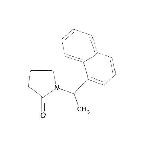 CC(c1cccc2ccccc12)N1CCCC1=O